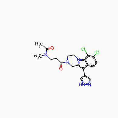 CC(=O)N(C)CCC(=O)N1CCn2c(c(-c3cn[nH]c3)c3ccc(Cl)c(Cl)c32)C1